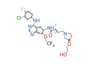 O=C(Nc1cc2c(Nc3ccc(F)c(Cl)c3)ncnc2cc1OCC(F)(F)F)/C(F)=C/CN1CC[C@@H](OCCO)C1